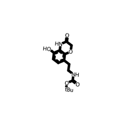 CC(C)(C)OC(=O)NCCc1ccc(O)c2c1OCC(=O)N2